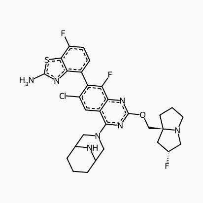 Nc1nc2c(-c3c(Cl)cc4c(N5CC6CCCC(C5)N6)nc(OC[C@@]56CCCN5C[C@H](F)C6)nc4c3F)ccc(F)c2s1